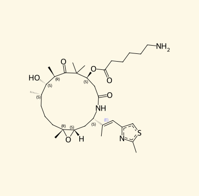 C/C(=C\c1csc(C)n1)[C@@H]1C[C@@H]2O[C@]2(C)CCC[C@H](C)[C@H](O)[C@@H](C)C(=O)C(C)(C)[C@@H](OC(=O)CCCCCN)CC(=O)N1